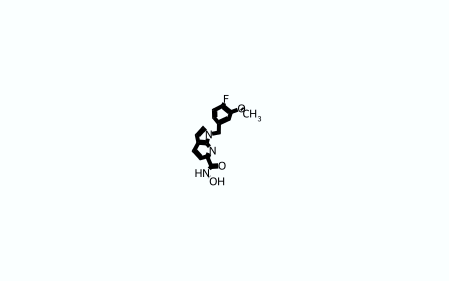 COc1cc(Cn2ccc3ccc(C(=O)NO)nc32)ccc1F